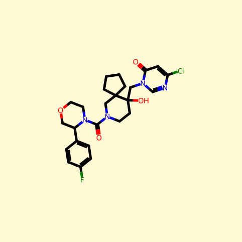 O=C(N1CCC(O)(Cn2cnc(Cl)cc2=O)C2(CCCC2)C1)N1CCOCC1c1ccc(F)cc1